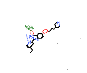 CCc1ccnc(-c2nc3ccc(OCCCc4ccncc4)cc3c(=O)[nH]2)c1.Cl.Cl